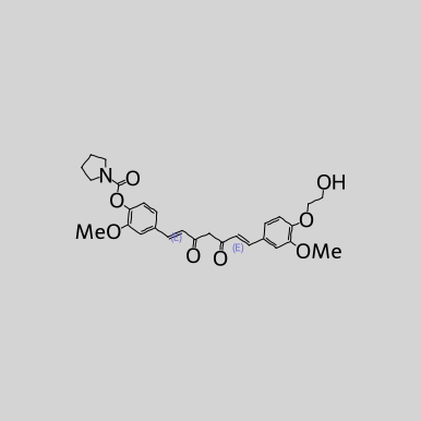 COc1cc(/C=C/C(=O)CC(=O)/C=C/c2ccc(OC(=O)N3CCCC3)c(OC)c2)ccc1OCCO